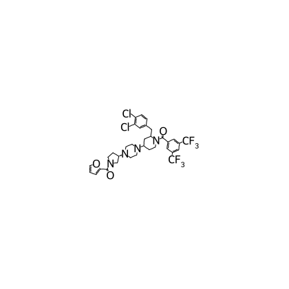 O=C(c1ccco1)N1CC[C@@H](N2CCN(C3CCN(C(=O)c4cc(C(F)(F)F)cc(C(F)(F)F)c4)C(Cc4ccc(Cl)c(Cl)c4)C3)CC2)C1